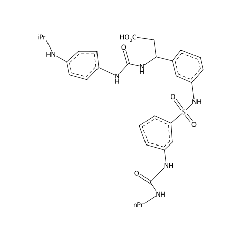 CCCNC(=O)Nc1cccc(S(=O)(=O)Nc2cccc(C(CC(=O)O)NC(=O)Nc3ccc(NC(C)C)cc3)c2)c1